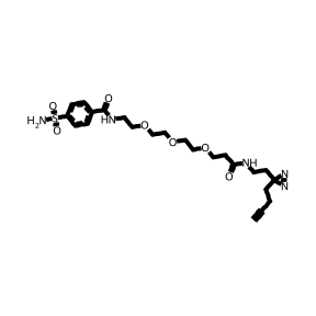 C#CCCC1(CCNC(=O)CCOCCOCCOCCNC(=O)c2ccc(S(N)(=O)=O)cc2)N=N1